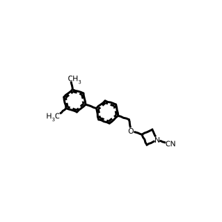 Cc1cc(C)cc(-c2ccc(COC3CN(C#N)C3)cc2)c1